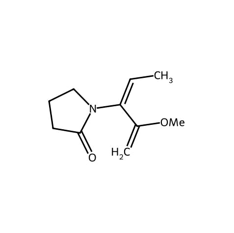 C=C(OC)C(=CC)N1CCCC1=O